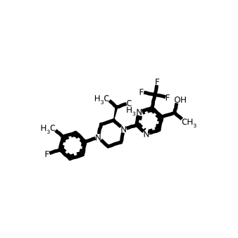 Cc1cc(N2CCN(c3ncc(C(C)O)c(C(F)(F)F)n3)[C@H](C(C)C)C2)ccc1F